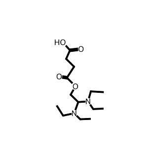 CCN(CC)C(COC(=O)CCC(=O)O)N(CC)CC